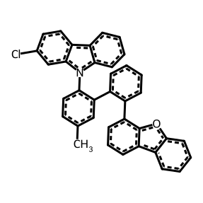 Cc1ccc(-n2c3ccccc3c3ccc(Cl)cc32)c(-c2ccccc2-c2cccc3c2oc2ccccc23)c1